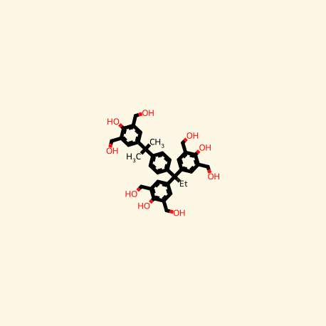 CCC(c1ccc(C(C)(C)c2cc(CO)c(O)c(CO)c2)cc1)(c1cc(CO)c(O)c(CO)c1)c1cc(CO)c(O)c(CO)c1